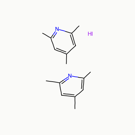 Cc1cc(C)nc(C)c1.Cc1cc(C)nc(C)c1.I